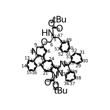 CC(C)(C)OC(=O)N[C@H](COc1cnc(-c2ccccc2)c(-c2ccc3c(c2)c(N=C(c2ccccc2)c2ccccc2)nn3C(=O)OC(C)(C)C)c1)Cc1ccccc1